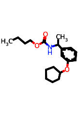 CCCCOC(=O)NC(C)c1cccc(OC2CCCCC2)c1